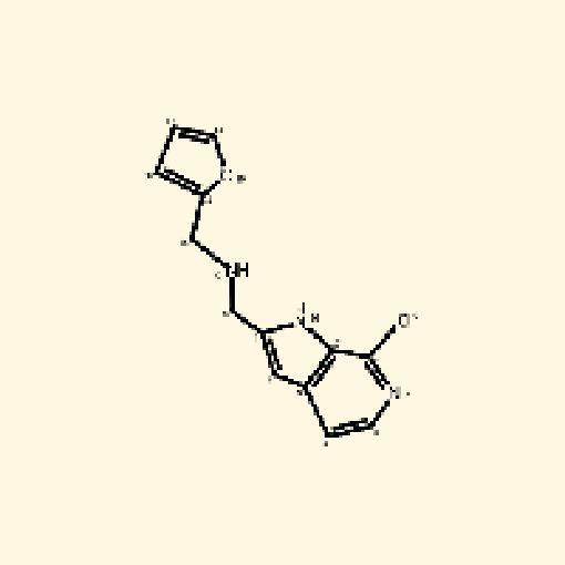 Clc1nccc2cc(CNCc3ccco3)[nH]c12